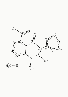 COc1ccc(C(=O)O)c(C(=O)C(CO)c2ccccc2)c1OC